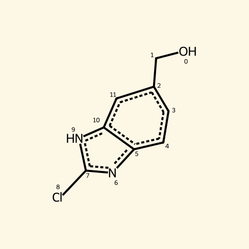 OCc1ccc2nc(Cl)[nH]c2c1